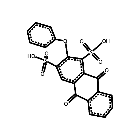 O=C1c2ccccc2C(=O)c2c1cc(S(=O)(=O)O)c(Oc1ccccc1)c2S(=O)(=O)O